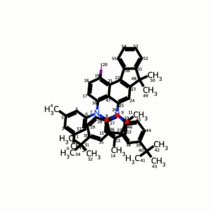 Cc1cc(C)cc(N(c2cc(C)cc(C)c2)c2ccc(I)c3c4c(cc(-n5c6ccc(C(C)(C)C)cc6c6cc(C(C)(C)C)ccc65)c23)C(C)(C)c2ccccc2-4)c1